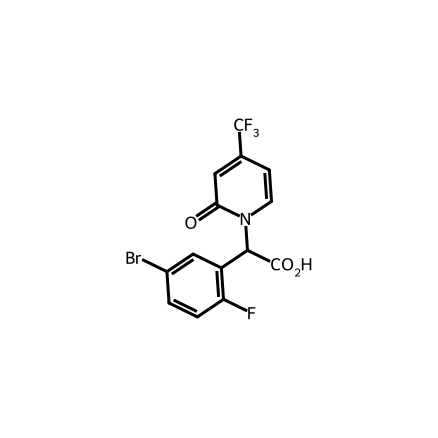 O=C(O)C(c1cc(Br)ccc1F)n1ccc(C(F)(F)F)cc1=O